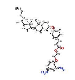 CC(C)CCC[C@@H](C)[C@H]1CCC2C3CC=C4CC(Oc5ccc(C=CC(=O)OCCOc6ccc(N)cc6N)cc5)CC[C@]4(C)C3CC[C@@]21C